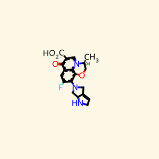 C[C@H]1COc2c(N3CC4=CCNC4C3)c(F)cc3c(=O)c(C(=O)O)cn1c23